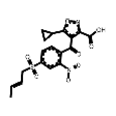 CC=CCS(=O)(=O)c1ccc(C(=O)c2c(C(=O)O)noc2C2CC2)c([N+](=O)[O-])c1